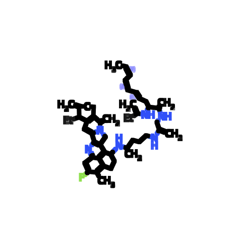 C=C(CNC(=C)C(C/C=C/C=C\C=C/C)NC(=C)CC)NCCCC(=C)NC1CCc2c(C)c(F)cc3nc4c(c1c23)CN1C(=C)C2=C(C=C41)C(CC)C(=C)CC2